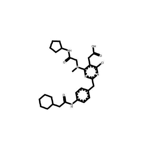 CN(CC(=O)NC1CCCC1)c1nc(Cc2ccc(NC(=O)CC3CCCCC3)cc2)nc(Cl)c1CC(=O)O